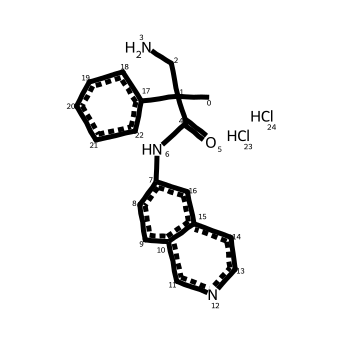 CC(CN)(C(=O)Nc1ccc2cnccc2c1)c1ccccc1.Cl.Cl